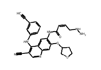 C#Cc1cccc(Nc2c(C#N)cnc3cc(OC4CCOC4)c(NC(=O)/C=C\CNN)cc23)c1